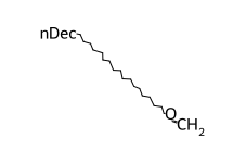 C=COCCCCCCCCCCCCCCCCCCCCCCCCCCCC